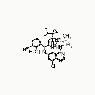 Cc1c(C#N)cccc1C(Nc1cc(Cl)c2ncnc(NCC(C)(C)C)c2c1)/C(N)=C/N(N)C1(C(F)F)CC1